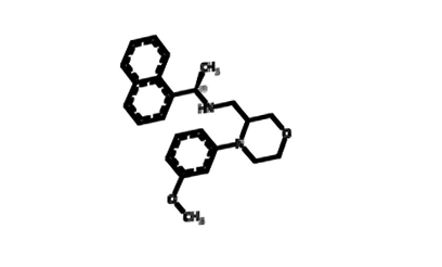 COc1cccc(N2CCOCC2CN[C@H](C)c2cccc3ccccc23)c1